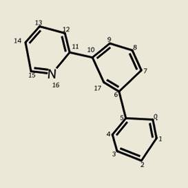 [c]1ccccc1-c1cccc(-c2ccccn2)c1